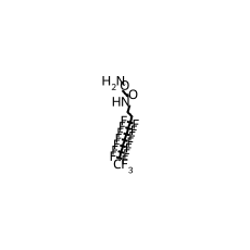 NOCC(=O)NCCCC(F)(F)C(F)(F)C(F)(F)C(F)(F)C(F)(F)C(F)(F)C(F)(F)C(F)(F)F